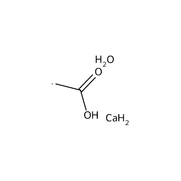 O.[CH2]C(=O)O.[CaH2]